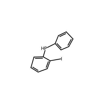 Ic1ccccc1Pc1ccccc1